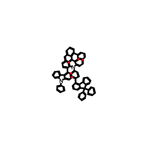 c1ccc(-c2cccc3cccc(-c4ccccc4N(c4ccc(-c5cccc6c5-c5ccccc5C6(c5ccccc5)c5ccccc5)cc4)c4ccccc4-c4cccc5c4c4ccccc4n5-c4ccccc4)c23)cc1